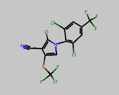 N#Cc1c(SC(F)(F)Cl)cn(-c2c(Cl)cc(C(F)(F)F)cc2Cl)c1Cl